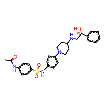 CC(=O)Nc1ccc(S(=O)(=O)Nc2ccc(N3CCC(NC[C@H](O)c4ccccc4)CC3)cc2)cc1